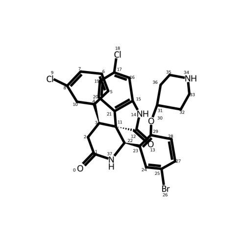 O=C1C[C@@H](C2C=CC=C(Cl)C2)[C@]2(C(=O)Nc3cc(Cl)ccc32)[C@@H](c2cc(Br)ccc2OC2CCNCC2)N1